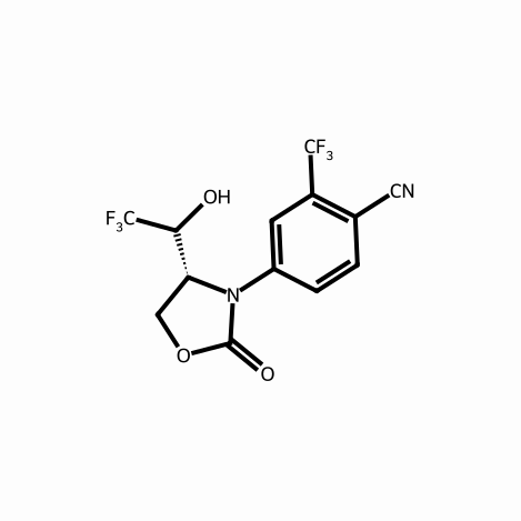 N#Cc1ccc(N2C(=O)OC[C@@H]2C(O)C(F)(F)F)cc1C(F)(F)F